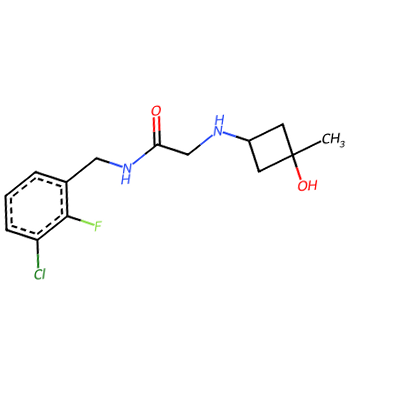 CC1(O)CC(NCC(=O)NCc2cccc(Cl)c2F)C1